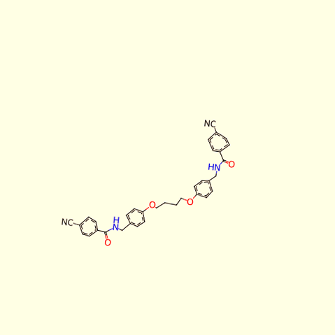 N#Cc1ccc(C(=O)NCc2ccc(OCCCCOc3ccc(CNC(=O)c4ccc(C#N)cc4)cc3)cc2)cc1